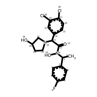 CC(c1ccc(F)cc1)N(O)C(=O)C(c1ccc(Cl)c(Cl)c1)N1CCC(O)C1